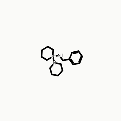 c1ccc(CN[N+]2(N3CCCCC3)CCCCC2)cc1